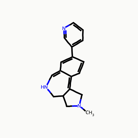 CN1CC2=c3ccc(-c4cccnc4)cc3=CNCC2C1